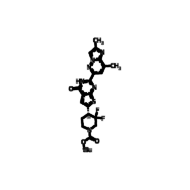 Cc1cn2nc(-c3nc4sc([C@H]5CCN(C(=O)OC(C)(C)C)CC5(F)F)cc4c(=O)[nH]3)cc(C)c2n1